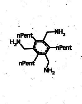 CCCCCc1c(CN)c(CCCCC)c(CN)c(CCCCC)c1CN